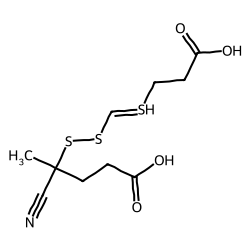 CC(C#N)(CCC(=O)O)SSC=[SH]CCC(=O)O